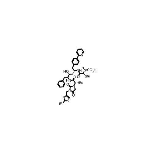 CCC(C)[C@@H](C(=O)N[C@@H](Cc1ccccc1)[C@@H](O)C[C@H](Cc1ccc(-c2ccccn2)cc1)NC(=O)[C@@H](N(C)C(=O)O)C(C)(C)C)N1CC(=O)N(Cc2csc(C(C)C)n2)C1=O